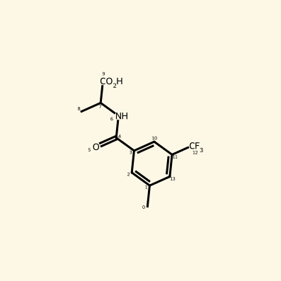 Cc1cc(C(=O)NC(C)C(=O)O)cc(C(F)(F)F)c1